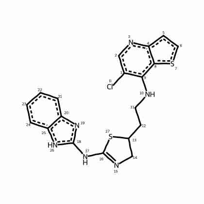 Clc1cnc2ccsc2c1NCCC1CN=C(Nc2nc3ccccc3[nH]2)S1